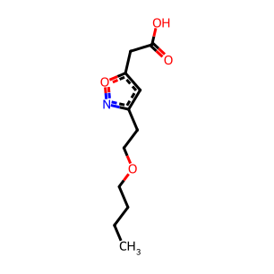 CCCCOCCc1cc(CC(=O)O)on1